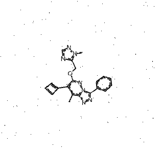 Cc1c(C2=CC=C2)c(OCc2ncnn2C)nn2c(-c3ccccc3)nnc12